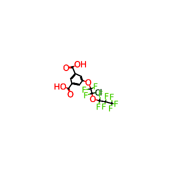 O=C(O)c1cc(OC(F)(F)C(F)(Cl)OC(F)(F)C(F)(F)C(F)(F)F)cc(C(=O)O)c1